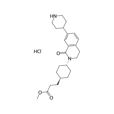 COC(=O)CC[C@H]1CC[C@H](N2CCc3ccc(C4CCNCC4)cc3C2=O)CC1.Cl